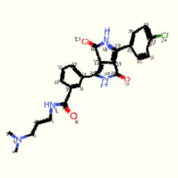 CN(C)CCCNC(=O)c1cccc(C2=C3C(=O)NC(c4ccc(Cl)cc4)=C3C(=O)N2)c1